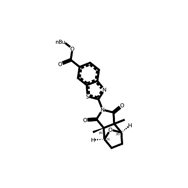 CCCCOC(=O)c1ccc2nc(N3C(=O)C4(C)[C@H]5CC[C@H](O5)[C@]4(C)C3=O)sc2c1